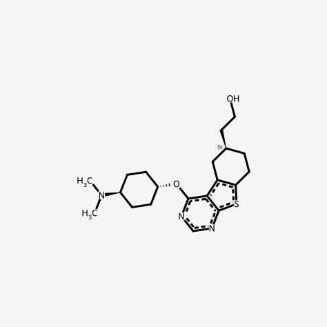 CN(C)[C@H]1CC[C@H](Oc2ncnc3sc4c(c23)C[C@@H](CCO)CC4)CC1